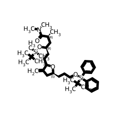 C=C1C[C@H](CCCO[Si](c2ccccc2)(c2ccccc2)C(C)(C)C)OC1CC[C@H](C[C@@H](C)C(=O)N(C)C)O[Si](C)(C)C(C)(C)C